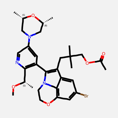 CO[C@@H](C)c1ncc(N2C[C@@H](C)O[C@@H](C)C2)cc1-c1c(CC(C)(C)COC(C)=O)c2cc(Br)cc3c2n1CCO3